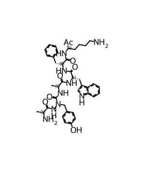 CC(=O)[C@H](CCCCN)NC(=O)[C@@H](Cc1ccccc1)NC(=O)[C@H](Cc1c[nH]c2ccccc12)NC(=O)[C@H](C)NC(=O)N(Cc1ccc(O)cc1)NC(=O)[C@H](C)N